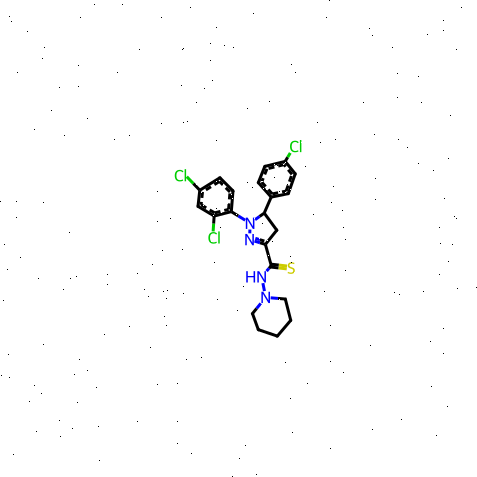 S=C(NN1CCCCC1)C1=NN(c2ccc(Cl)cc2Cl)C(c2ccc(Cl)cc2)C1